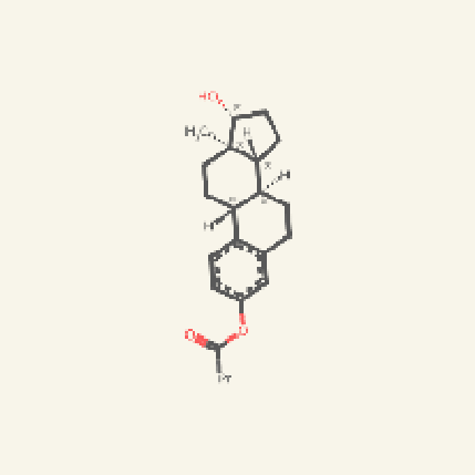 CC(C)C(=O)Oc1ccc2c(c1)CC[C@@H]1[C@H]3CC[C@@H](O)[C@]3(C)CC[C@@H]21